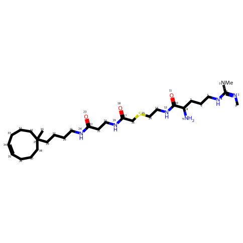 C/N=C(/NC)NCCCC(N)C(=O)NCCSCC(=O)NCCC(=O)NCCCCC1(C)CCC/C=C\CCC1